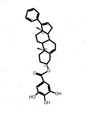 C[C@]12CC[C@H](OC(=O)c3cc(O)c(O)c(O)c3)CC1=CCC1C2CC[C@]2(C)C(c3ccccc3)=CCC12